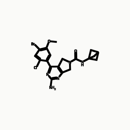 COc1cc(-c2nc(N)nc3c2CN(C(=O)NC24CC(C2)C4)C3)c(Cl)cc1Br